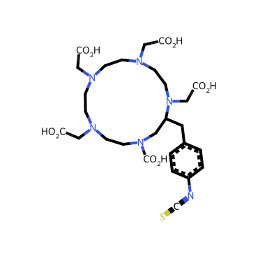 O=C(O)CN1CCN(CC(=O)O)CCN(C(=O)O)CC(Cc2ccc(N=C=S)cc2)N(CC(=O)O)CCN(CC(=O)O)CC1